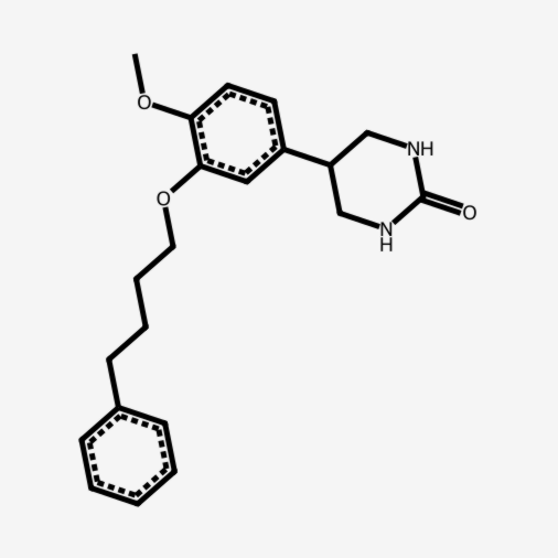 COc1ccc(C2CNC(=O)NC2)cc1OCCCCc1ccccc1